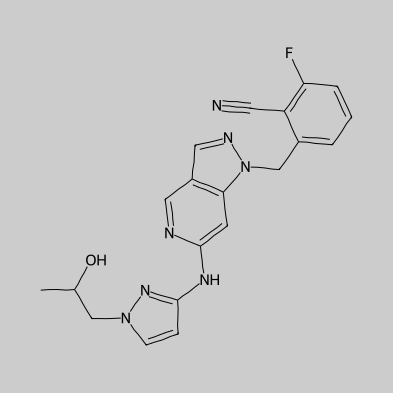 CC(O)Cn1ccc(Nc2cc3c(cn2)cnn3Cc2cccc(F)c2C#N)n1